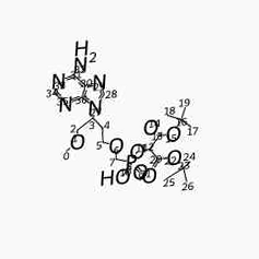 COCC(CCOCP(=O)(O)OC(C(=O)OC(C)(C)C)C(=O)OC(C)(C)C)n1cnc2c(N)ncnc21